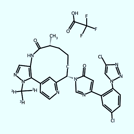 O=C(O)C(F)(F)F.[2H]C([2H])([2H])n1ncc2c1-c1ccnc(c1)[C@@H](n1cnc(-c3cc(Cl)ccc3-n3cc(Cl)nn3)cc1=O)CCC[C@@H](C)C(=O)N2